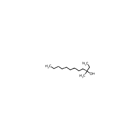 [CH2]CC(C)(O)CCCCCCCCC